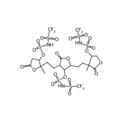 CC1(CCC2C(=O)OC(CCC3(C)C(=O)OCC3OS(=O)(=O)NS(=O)(=O)C(F)(F)F)C2OS(=O)(=O)NS(=O)(=O)C(F)(F)F)OC(=O)CC1OS(=O)(=O)NS(=O)(=O)C(F)(F)F